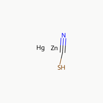 N#CS.[Hg].[Zn]